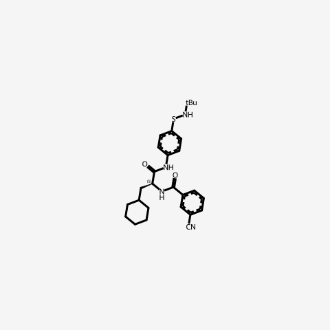 CC(C)(C)NSc1ccc(NC(=O)[C@H](CC2CCCCC2)NC(=O)c2cccc(C#N)c2)cc1